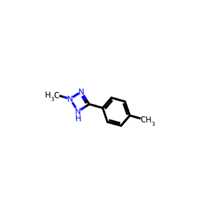 Cc1ccc(-c2nn(C)[nH]2)cc1